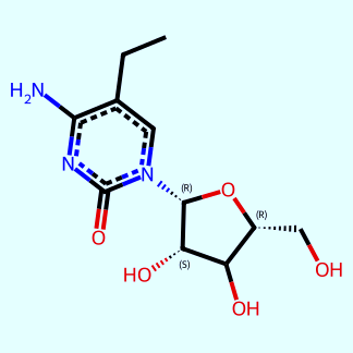 CCc1cn([C@@H]2O[C@H](CO)C(O)[C@@H]2O)c(=O)nc1N